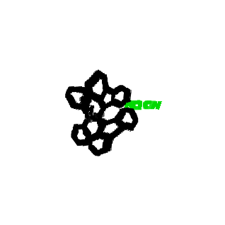 Cc1cccc2c1[CH]([Zr]([CH]1c3ccccc3-c3cccc(C)c31)[SiH](c1ccccc1)c1ccccc1)c1ccccc1-2.Cl.Cl